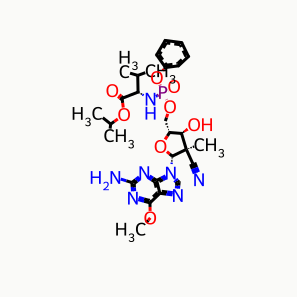 COc1nc(N)nc2c1ncn2[C@@H]1O[C@H](COP(=O)(N[C@H](C(=O)OC(C)C)C(C)C)Oc2ccccc2)[C@@H](O)[C@@]1(C)C#N